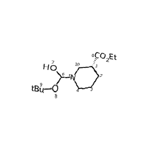 CCOC(=O)[C@@H]1CCCN(C(O)OC(C)(C)C)C1